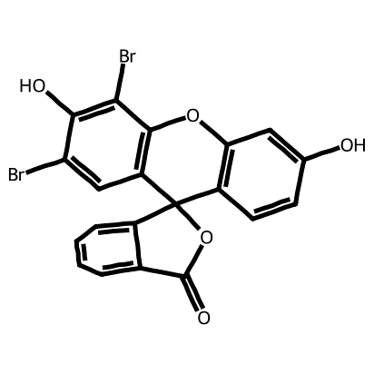 O=C1OC2(c3ccc(O)cc3Oc3c2cc(Br)c(O)c3Br)c2ccccc21